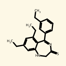 CCc1cccc(C2=NC(=S)CNc3cc(CC)cc(CC)c32)c1